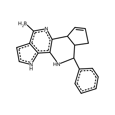 Bc1nc2c(c3[nH]ccc13)NC(c1ccccc1)C1CC=CC21